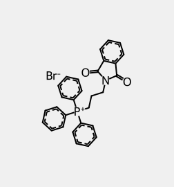 O=C1c2ccccc2C(=O)N1CCC[P+](c1ccccc1)(c1ccccc1)c1ccccc1.[Br-]